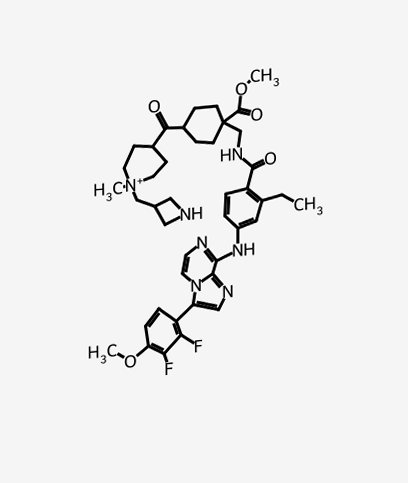 CCc1cc(Nc2nccn3c(-c4ccc(OC)c(F)c4F)cnc23)ccc1C(=O)NCC1(C(=O)OC)CCC(C(=O)C2CC[N+](C)(CC3CNC3)CC2)CC1